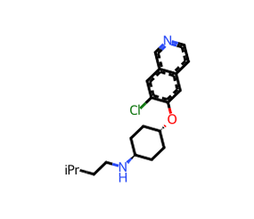 CC(C)CCN[C@H]1CC[C@H](Oc2cc3ccncc3cc2Cl)CC1